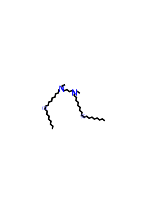 CCCCCCCC/C=C\CCCCCCCCN(CC)CCCCN(CC)CCCCCCCC/C=C\CCCCCCCC